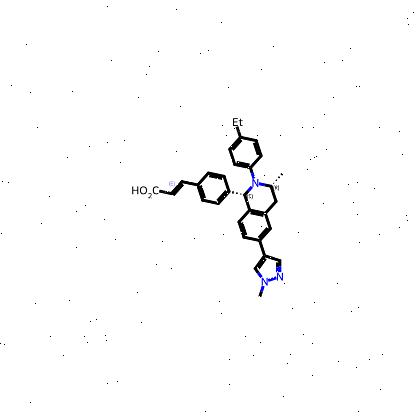 CCc1ccc(N2[C@@H](c3ccc(/C=C/C(=O)O)cc3)c3ccc(-c4cnn(C)c4)cc3C[C@H]2C)cc1